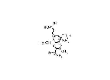 CC(C)[C@H](N)C(=O)N(C)C[C@@H]1CC[C@@H](CCB(O)O)C[C@]1(N)C(=O)O.Cl.Cl